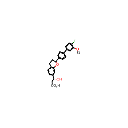 CCOc1cc(-c2ccc(C3CCc4ccc([C@H](O)CC(=O)O)cc4O3)cc2)ccc1F